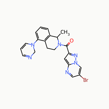 CC1c2cccc(N3C=CC=NC3)c2CCN1C(=O)c1cc2ncc(Br)cn2n1